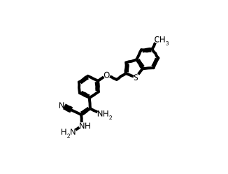 Cc1ccc2sc(COc3cccc(/C(N)=C(\C#N)NN)c3)cc2c1